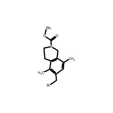 Cc1cc(CBr)c(C)c2c1CN(C(=O)OC(C)(C)C)CC2